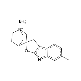 [BH3-][N+]12CCC(CC1)C1(Cn3c(nc4cc(C)ccc43)O1)C2